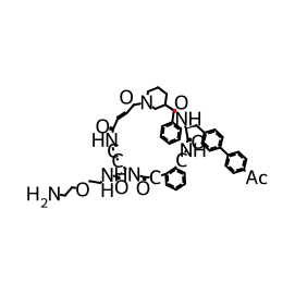 CC(=O)c1ccc(-c2ccc(C[C@@H]3NC(=O)[C@]4(Cc5ccccc5)CCCN(C4)C(=O)/C=C/C(=O)NCC[C@@H](C(=O)NCCOCCN)NC(=O)Cc4ccccc4CNC3=O)cc2)cc1